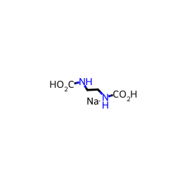 O=C(O)NCCNC(=O)O.[Na]